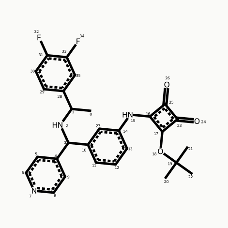 CC(NC(c1ccncc1)c1cccc(Nc2c(OC(C)(C)C)c(=O)c2=O)c1)c1ccc(F)c(F)c1